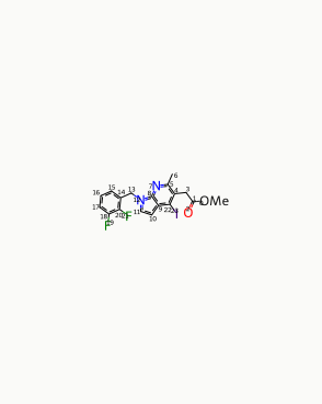 COC(=O)Cc1c(C)nc2c(ccn2Cc2cccc(F)c2F)c1I